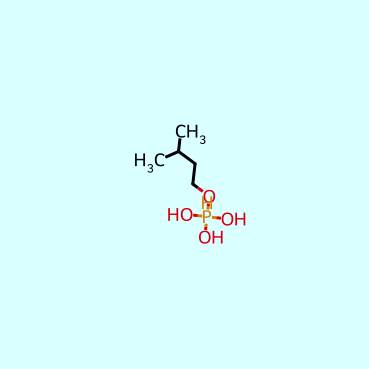 CC(C)CCO[PH](O)(O)O